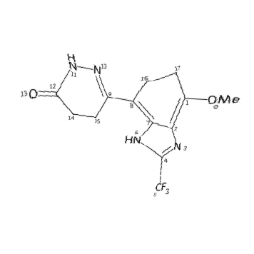 COC1=c2nc(C(F)(F)F)[nH]c2=C(C2=NNC(=O)CC2)CC1